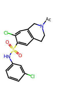 CC(=O)N1CCc2cc(S(=O)(=O)Nc3cccc(Cl)c3)c(Cl)cc2C1